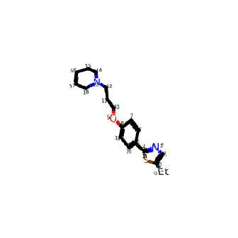 CCc1cnc(-c2ccc(OCCCN3CCCCC3)cc2)s1